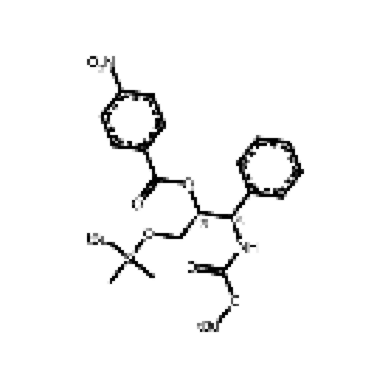 CC(C)(C)OC(=O)N[C@H](c1ccccc1)[C@@H](CO[Si](C)(C)C(C)(C)C)OC(=O)c1ccc([N+](=O)[O-])cc1